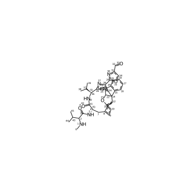 CNC(C(=O)N[C@H]1Cc2ccc3c(c2)C2(c4ccccc4NC2O3)c2oc(nc2-c2nc(C=O)co2)[C@H](C(C)C)NC1=O)C(C)C